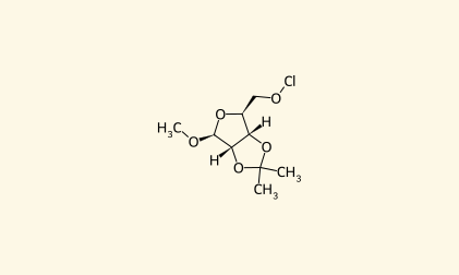 CO[C@H]1O[C@@H](COCl)[C@@H]2OC(C)(C)O[C@H]12